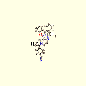 Cc1nc2c(c(=O)n1C(c1ccccc1)c1ccccc1)CN([C@@H](C)c1ccc(C#N)cc1)CC2